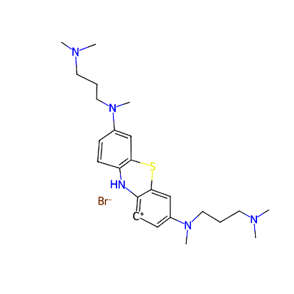 CN(C)CCCN(C)C1=C[C+]=C2Nc3ccc(N(C)CCCN(C)C)cc3SC2=C1.[Br-]